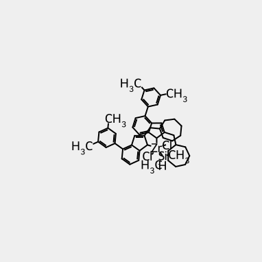 Cc1cc(C)cc(-c2cccc3c2C=C(CC2CCCCCC2)[CH]3[Zr]([Cl])([Cl])([CH]2C(CC3CCCCCC3)=Cc3c(-c4cc(C)cc(C)c4)cccc32)[SiH](C)C)c1